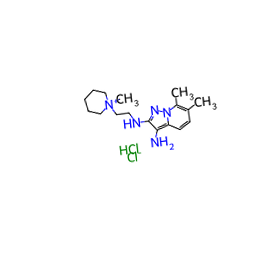 Cc1ccc2c(N)c(NCC[N+]3(C)CCCCC3)nn2c1C.Cl.[Cl-]